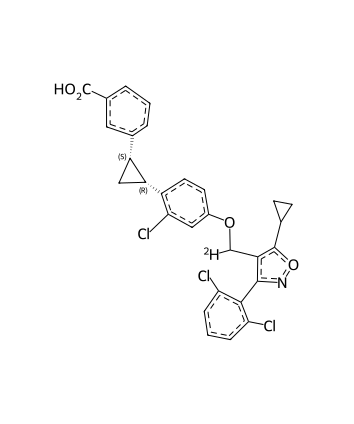 [2H]C(Oc1ccc([C@@H]2C[C@@H]2c2cccc(C(=O)O)c2)c(Cl)c1)c1c(-c2c(Cl)cccc2Cl)noc1C1CC1